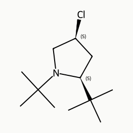 CC(C)(C)[C@@H]1C[C@H](Cl)CN1C(C)(C)C